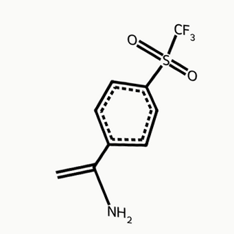 C=C(N)c1ccc(S(=O)(=O)C(F)(F)F)cc1